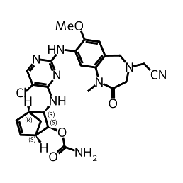 COc1cc2c(cc1Nc1ncc(Cl)c(N[C@H]3[C@@H](OC(N)=O)[C@@H]4C=C[C@H]3C4)n1)N(C)C(=O)CN(CC#N)C2